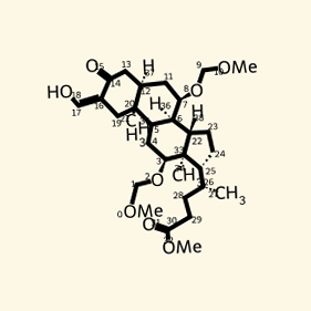 COCO[C@H]1C[C@H]2[C@@H]([C@H](OCOC)C[C@@H]3CC(=O)/C(=C\O)C[C@@]32C)[C@@H]2CC[C@H]([C@H](C)CCC(=O)OC)[C@@]12C